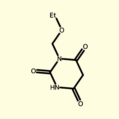 CCOCN1C(=O)CC(=O)NC1=O